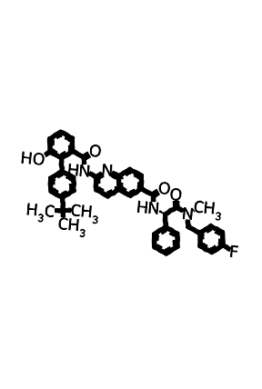 CN(Cc1ccc(F)cc1)C(=O)[C@@H](NC(=O)c1ccc2nc(NC(=O)c3cccc(O)c3-c3ccc(C(C)(C)C)cc3)ccc2c1)c1ccccc1